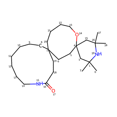 CC1(C)CC2(CCC3(CCCCCCCNC(=O)CC3)CCCCO2)CC(C)(C)N1